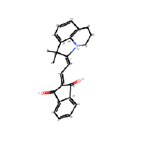 CC1(C)/C(=C\C=C2C(=O)c3ccccc3C2=O)N2CCCc3cccc1c32